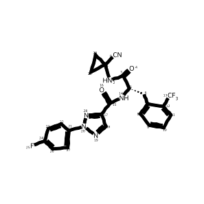 N#CC1(NC(=O)[C@H](Cc2ccccc2C(F)(F)F)NC(=O)c2cnn(-c3ccc(F)cc3)n2)CC1